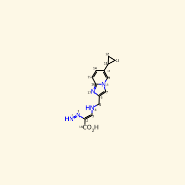 N=N/C(=C\NCc1cn2cc(C3CC3)ccc2n1)C(=O)O